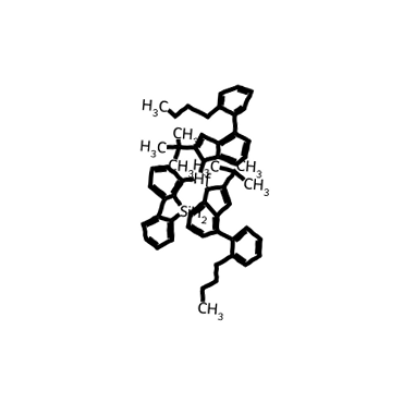 CCCCc1ccccc1-c1cccc2c1C=C(C(C)(C)C)[CH]2[Hf]([c]1cccc2c1[SiH2]c1ccccc1-2)[CH]1C(C(C)(C)C)=Cc2c(-c3ccccc3CCCC)cccc21